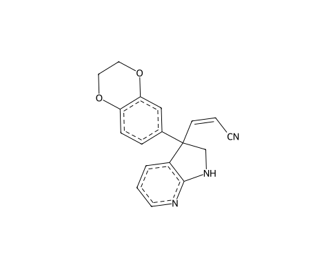 N#C/C=C\C1(c2ccc3c(c2)OCCO3)CNc2ncccc21